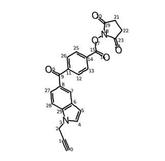 C#CCn1ccc2cc(C(=O)c3ccc(C(=O)ON4C(=O)CCC4=O)cc3)ccc21